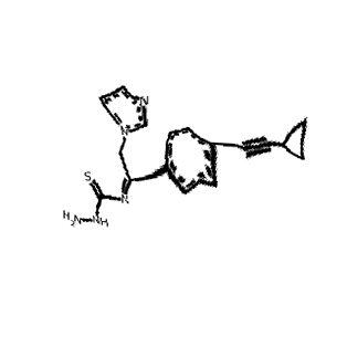 NNC(=S)N=C(Cn1ccnc1)c1ccc(C#CC2CC2)cc1